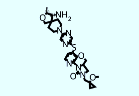 COC1(CN2CC3COc4c(Sc5cnc(N6CCC7(CC6)CO[C@@H](C)[C@H]7N)cn5)ccnc4N3C2=O)CC1